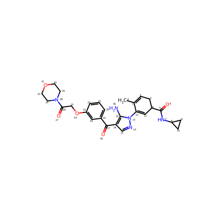 CC1=CCC(C(=O)NC2CC2)C=C1n1ncc(C(=O)c2cccc(OCC(=O)N3CCOCC3)c2)c1N